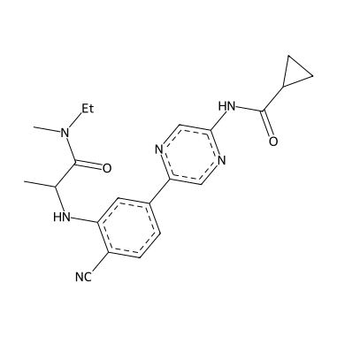 CCN(C)C(=O)C(C)Nc1cc(-c2cnc(NC(=O)C3CC3)cn2)ccc1C#N